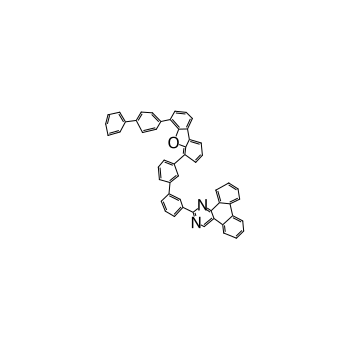 c1ccc(-c2ccc(-c3cccc4c3oc3c(-c5cccc(-c6cccc(-c7ncc8c9ccccc9c9ccccc9c8n7)c6)c5)cccc34)cc2)cc1